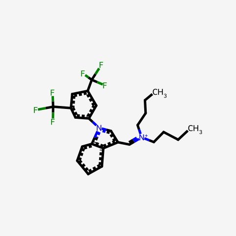 CCCC[N+](=Cc1cn(-c2cc(C(F)(F)F)cc(C(F)(F)F)c2)c2ccccc12)CCCC